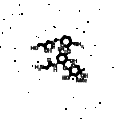 CN[C@@H]1[C@@H](O)[C@@H](O[C@@H]2[C@@H](O)[C@H](O[C@H]3O[C@H](CNCC(O)CO)CC[C@H]3N)[C@@H](N)C[C@H]2NC(=O)CN)OC[C@]1(C)O